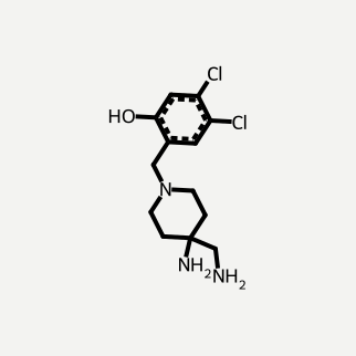 NCC1(N)CCN(Cc2cc(Cl)c(Cl)cc2O)CC1